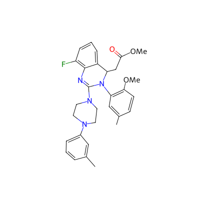 COC(=O)CC1c2cccc(F)c2N=C(N2CCN(c3cccc(C)c3)CC2)N1c1cc(C)ccc1OC